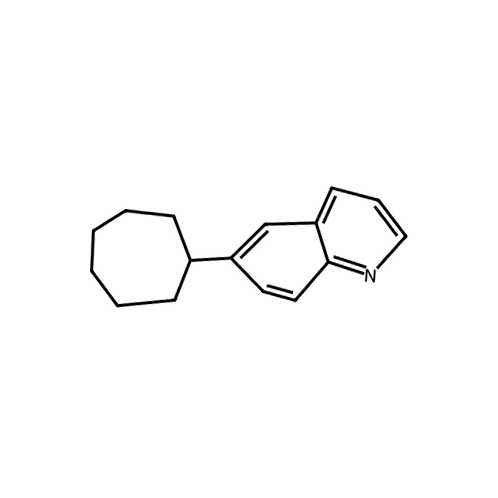 c1cnc2ccc(C3CCCCCC3)cc2c1